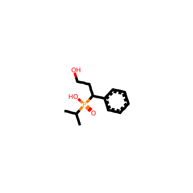 CC(C)P(=O)(O)C(CCO)c1ccccc1